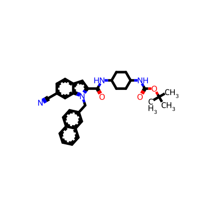 CC(C)(C)OC(=O)NC1CCC(NC(=O)c2cc3ccc(C#N)cc3n2Cc2ccc3ccccc3c2)CC1